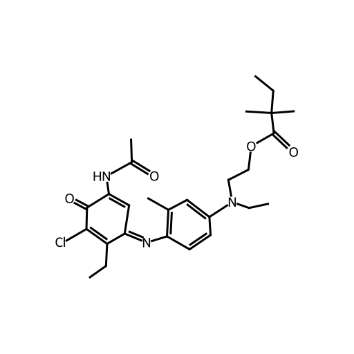 CCC1=C(Cl)C(=O)C(NC(C)=O)=C/C1=N\c1ccc(N(CC)CCOC(=O)C(C)(C)CC)cc1C